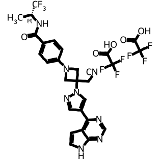 C[C@@H](NC(=O)c1ccc(N2CC(CC#N)(n3cc(-c4ncnc5[nH]ccc45)cn3)C2)cc1)C(F)(F)F.O=C(O)C(F)(F)F.O=C(O)C(F)(F)F